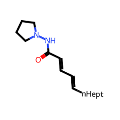 CCCCCCCC=CC=CC(=O)NN1CCCC1